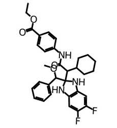 CCOC(=O)c1ccc(NC(=O)C(C2CCCCC2)C2(C(OC)c3ccccc3)Nc3cc(F)c(F)cc3N2)cc1